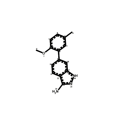 COc1ccc(C)cc1-c1ccc2c(N)n[nH]c2c1